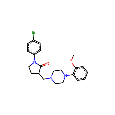 COc1ccccc1N1CCN(CC2CCN(c3ccc(Br)cc3)C2=O)CC1